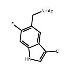 CC(=O)NCc1cc2c(Cl)c[nH]c2cc1F